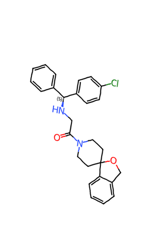 O=C(CN[C@@H](c1ccccc1)c1ccc(Cl)cc1)N1CCC2(CC1)OCc1ccccc12